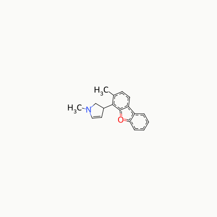 Cc1ccc2c(oc3ccccc32)c1C1C=CN(C)C1